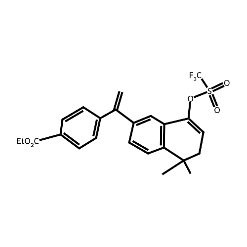 C=C(c1ccc(C(=O)OCC)cc1)c1ccc2c(c1)C(OS(=O)(=O)C(F)(F)F)=CCC2(C)C